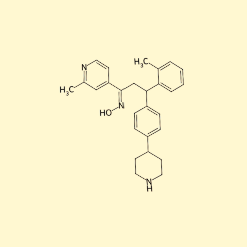 Cc1cc(C(CC(c2ccc(C3CCNCC3)cc2)c2ccccc2C)=NO)ccn1